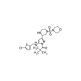 CC(C)(C)C(=O)n1nc(C2CN(S(=O)(=O)N3CCOCC3)CCN2)cc1NCc1ccc(Cl)s1